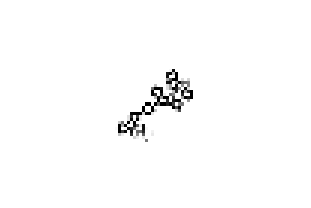 CC1(C)c2ccccc2-c2ccc(-c3ccc(-c4cc5c6ccccc6n(-c6nc7ccccc7c7nc8ccccc8n67)c5c5ccccc45)cc3)cc21